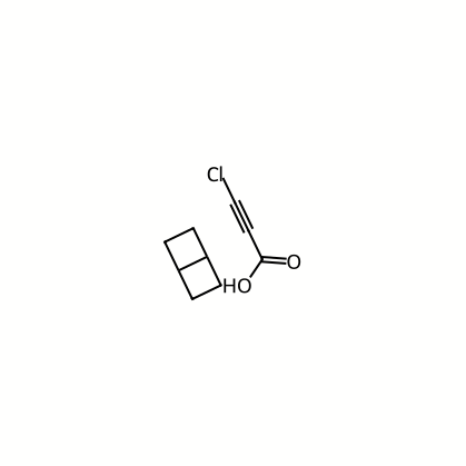 C1CC2CCC12.O=C(O)C#CCl